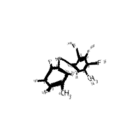 Cc1c(F)c(F)c(F)c(Bc2c(F)c(C)c(F)c(F)c2F)c1F